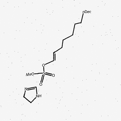 C1=NCCN1.CCCCCCCCCCCCCCCC=COS(=O)(=O)OC